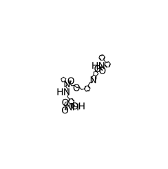 O=C1COc2c(CCNCCN(C(=O)CCOCCc3cccc(CCN4CC5CC(OC(=O)Nc6ccccc6-c6ccccc6)CC5C4)c3)C3CCCC3)ccc(O)c2N1